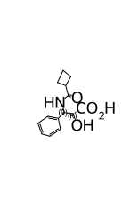 O=C(N[C@H](c1ccccc1)[C@@H](O)C(=O)O)C1CCC1